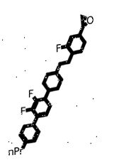 CCCC1=CCC(C2=CCC(C3CCC(CCC4CCC(C5CO5)C=C4F)CC3)C(F)=C2F)C=C1